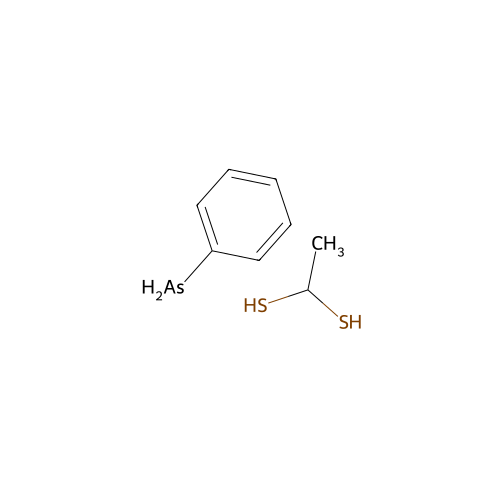 CC(S)S.[AsH2]c1ccccc1